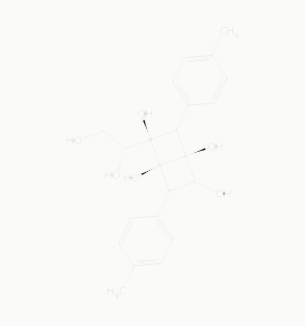 Cc1ccc(C2C(O)[C@@]3(O)C(c4ccc(C)cc4)[C@@](O)([C@H](O)CO)[C@@]23O)cc1